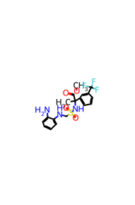 COC(=O)C(C)(NS(=O)(=O)CNc1ccccc1N)c1cccc(C(F)(F)F)c1